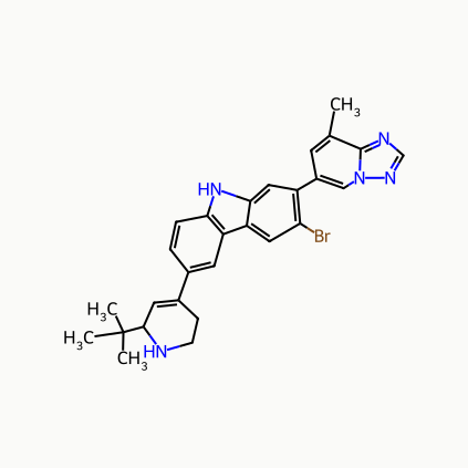 Cc1cc(-c2cc3[nH]c4ccc(C5=CC(C(C)(C)C)NCC5)cc4c3cc2Br)cn2ncnc12